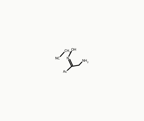 CC#N.CC(=O)C(CN)=NO